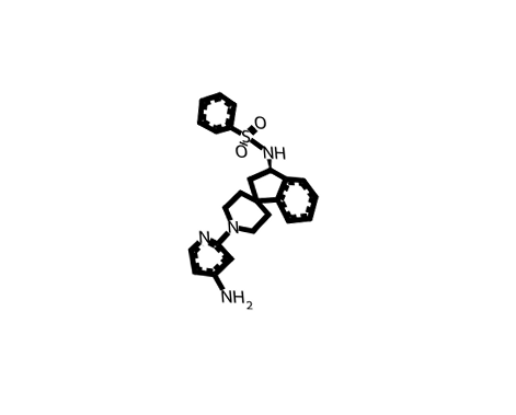 Nc1ccnc(N2CCC3(CC2)C[C@@H](NS(=O)(=O)c2ccccc2)c2ccccc23)c1